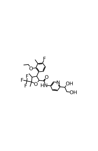 CCOc1c(C2C(C(=O)Nc3ccc(C(O)CO)nc3)OC(C)(C(F)(F)F)C2C)ccc(F)c1C